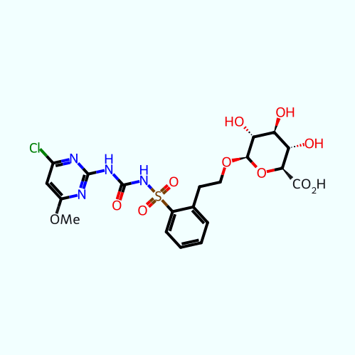 COc1cc(Cl)nc(NC(=O)NS(=O)(=O)c2ccccc2CCO[C@@H]2O[C@H](C(=O)O)[C@@H](O)[C@H](O)[C@H]2O)n1